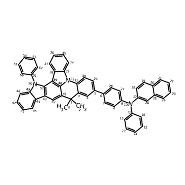 CC1(C)c2cc(-c3ccc(N(c4ccccc4)c4ccc5ccccc5c4)cc3)ccc2-n2c3ccccc3c3c2c1cc1c2ccccc2n(-c2ccccc2)c13